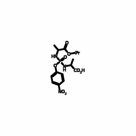 CC(C)OC(=O)C(C)NP(=O)(NC(C)C(=O)O)Oc1ccc([N+](=O)[O-])cc1